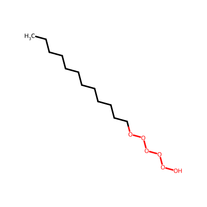 CCCCCCCCCCCCOOOOOO